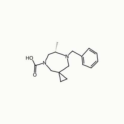 C[C@H]1CN(C(=O)O)CC2(CC2)CN1Cc1ccccc1